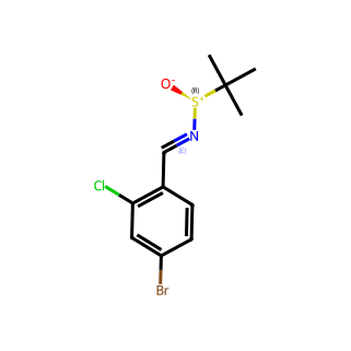 CC(C)(C)[S@+]([O-])/N=C/c1ccc(Br)cc1Cl